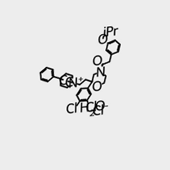 CC(C)Oc1cccc(CC(=O)N2CCOC(CC[N+]34CCC(c5ccccc5)(CC3)CC4)(c3ccc(Cl)c(Cl)c3)C2)c1.O.[Cl-]